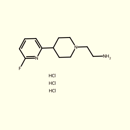 Cl.Cl.Cl.NCCN1CCC(c2cccc(F)n2)CC1